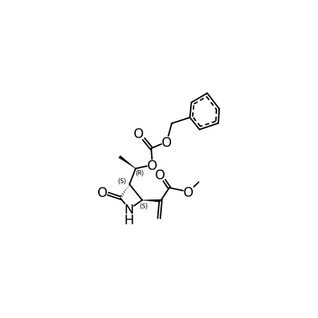 C=C(C(=O)OC)[C@H]1NC(=O)[C@@H]1[C@@H](C)OC(=O)OCc1ccccc1